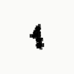 CCOc1ccn(-c2ccc(F)cc2)c(=O)c1C(=O)Nc1ccc(Oc2ccnc(C)c2Cl)c(F)c1